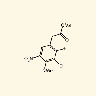 CNc1c([N+](=O)[O-])cc(CC(=O)OC)c(F)c1Cl